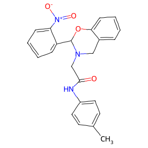 Cc1ccc(NC(=O)CN2Cc3ccccc3OC2c2ccccc2[N+](=O)[O-])cc1